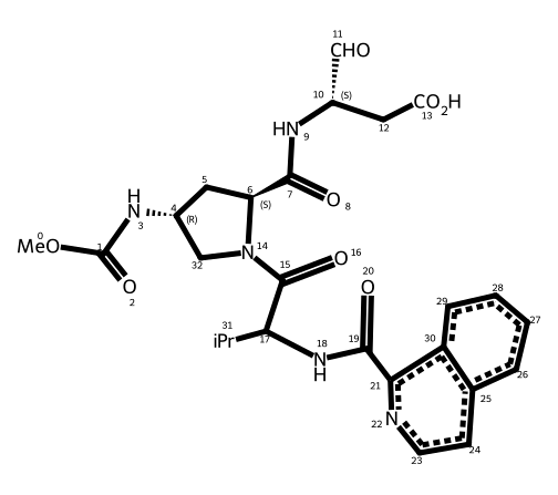 COC(=O)N[C@@H]1C[C@@H](C(=O)N[C@H](C=O)CC(=O)O)N(C(=O)C(NC(=O)c2nccc3ccccc23)C(C)C)C1